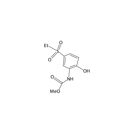 CCS(=O)(=O)c1ccc(O)c(NC(=O)OC)c1